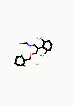 Cc1cccc(C)c1C(CNCC(C)C)COCc1c(F)cccc1F.Cl